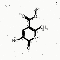 Cc1[nH]c(=O)c(C#N)cc1C(=O)OC(C)C